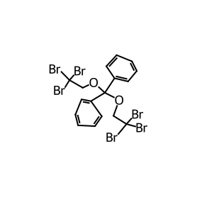 BrC(Br)(Br)COC(OCC(Br)(Br)Br)(c1ccccc1)c1ccccc1